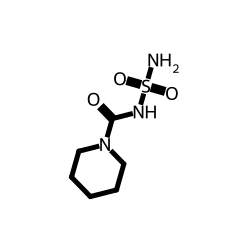 NS(=O)(=O)NC(=O)N1CCCCC1